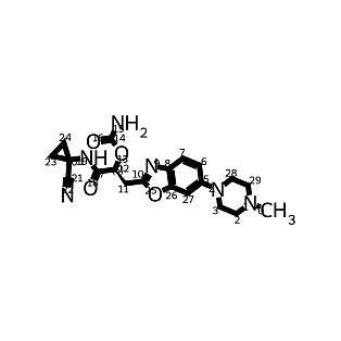 CN1CCN(c2ccc3nc(C[C@H](OC(N)=O)C(=O)NC4(C#N)CC4)oc3c2)CC1